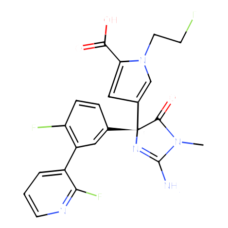 CN1C(=O)[C@@](c2ccc(F)c(-c3cccnc3F)c2)(c2cc(C(=O)O)n(CCF)c2)N=C1N